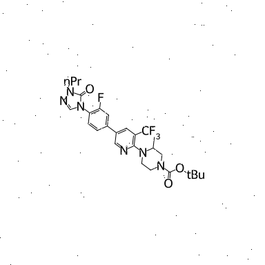 CCCn1ncn(-c2ccc(-c3cnc(N4CCN(C(=O)OC(C)(C)C)CC4C)c(C(F)(F)F)c3)cc2F)c1=O